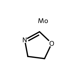 C1=NCCO1.[Mo]